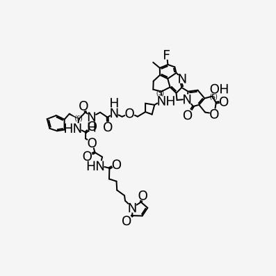 Cc1c(F)cc2nc3c(c4c2c1CC[C@@H]4NC1CC(COCNC(=O)CNC(=O)[C@H](Cc2ccccc2)NC(=O)COC(=O)CNC(=O)CCCCCN2C(=O)C=CC2=O)C1)Cn1c-3cc2c(c1=O)COC(=O)[C@H]2O